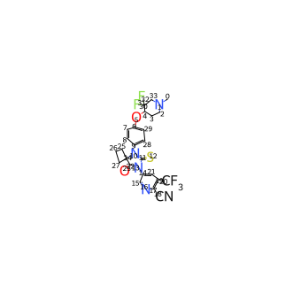 CN1CCC(Oc2ccc(N3C(=S)N(c4cnc(C#N)c(C(F)(F)F)c4)C(=O)C34CCC4)cc2)C(F)(F)C1